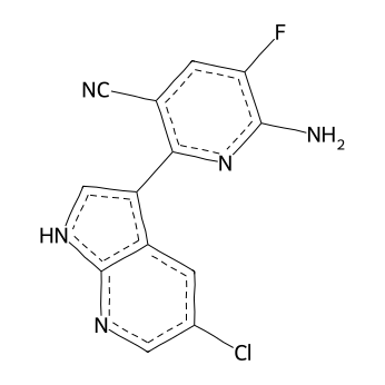 N#Cc1cc(F)c(N)nc1-c1c[nH]c2ncc(Cl)cc12